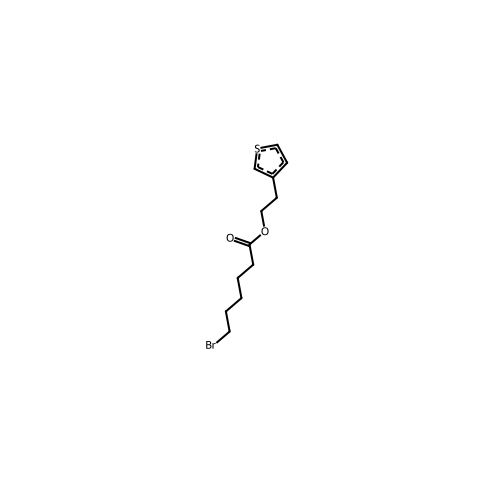 O=C(CCCCCBr)OCCc1ccsc1